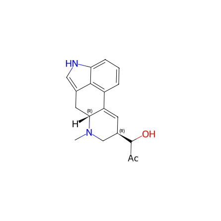 CC(=O)C(O)[C@@H]1C=C2c3cccc4[nH]cc(c34)C[C@H]2N(C)C1